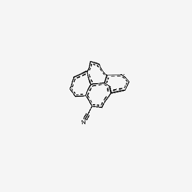 N#Cc1cc2cc[c]c3ccc4cccc1c4c32